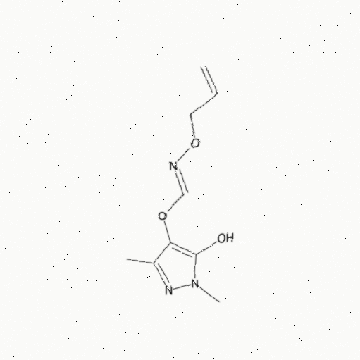 C=CCON=COc1c(C)nn(C)c1O